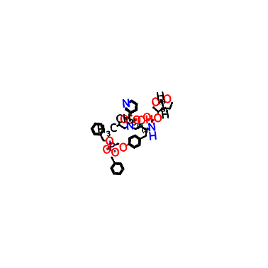 CC(C)CN(C[C@@H](O)[C@H](Cc1ccc(OCP(=O)(OCc2ccccc2)OCc2ccccc2)cc1)NC(=O)OC1CO[C@H]2OCC[C@@H]12)S(=O)(=O)c1cccnc1